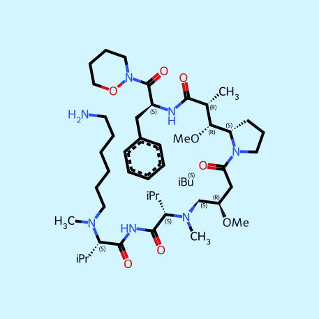 CC[C@H](C)[C@@H]([C@@H](CC(=O)N1CCC[C@H]1[C@H](OC)[C@@H](C)C(=O)N[C@@H](Cc1ccccc1)C(=O)N1CCCCO1)OC)N(C)[C@H](C(=O)NC(=O)[C@H](C(C)C)N(C)CCCCCCN)C(C)C